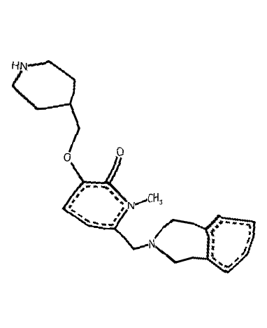 Cn1c(CN2Cc3ccccc3C2)ccc(OCC2CCNCC2)c1=O